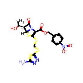 CC(O)[C@H]1C(=O)N2C(C(=O)OCc3ccc([N+](=O)[O-])cc3)=C(SCSc3nnc(N)s3)S[C@H]12